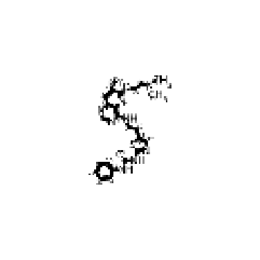 CCCc1cc2ncnc(NCCc3cnc(NC(=O)Nc4ccccc4)s3)c2nc1OCCN(C)C